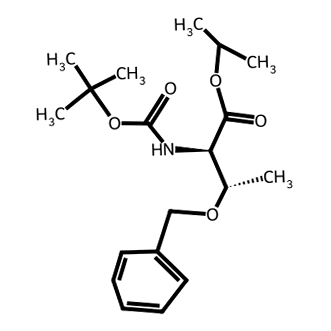 CC(C)OC(=O)[C@H](NC(=O)OC(C)(C)C)[C@H](C)OCc1ccccc1